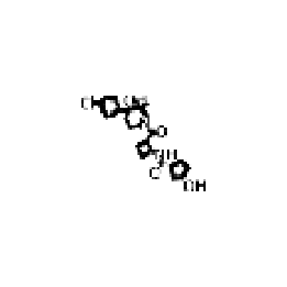 CC1(C)CN(C(=O)C2CCC2NC(=O)[C@@H]2CC[C@@H](O)C2)CCC1(O)c1ccc(Cl)cc1